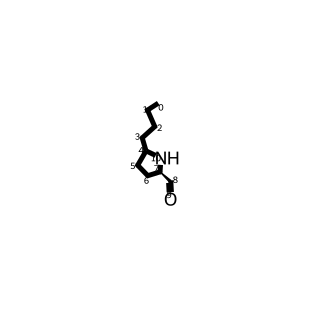 CCCCC1CC[C@H](C=O)N1